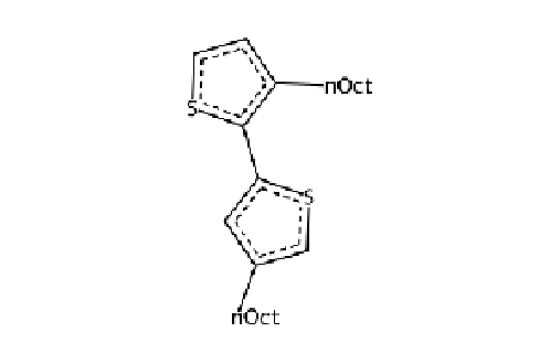 CCCCCCCCc1csc(-c2sccc2CCCCCCCC)c1